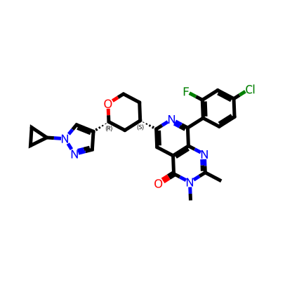 Cc1nc2c(-c3ccc(Cl)cc3F)nc([C@H]3CCO[C@@H](c4cnn(C5CC5)c4)C3)cc2c(=O)n1C